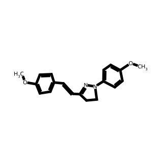 COc1ccc(C=CC2=NN(c3ccc(OC)cc3)CC2)cc1